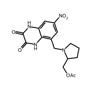 CC(=O)OCC1CCCN1Cc1cc([N+](=O)[O-])cc2[nH]c(=O)c(=O)[nH]c12